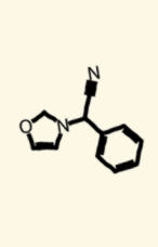 N#CC(c1ccccc1)N1C=COC1